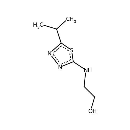 CC(C)c1nnc(NCCO)s1